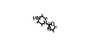 C1COC(N2CCNCC2)=N1